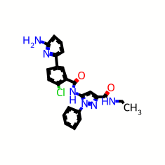 CCNC(=O)c1cc(NC(=O)c2cc(-c3cccc(N)n3)ccc2Cl)n(-c2ccccc2)n1